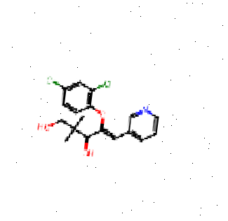 CC(C)(CO)C(O)C(=Cc1cccnc1)Oc1ccc(Cl)cc1Cl